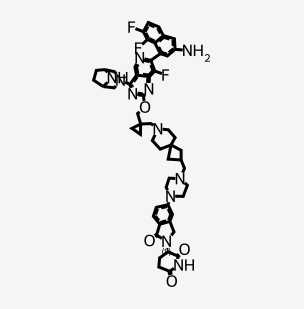 Nc1cc(-c2ncc3c(N4CC5CCC(C4)N5)nc(OCC4(CN5CCC6(CC5)CC(CN5CCN(c7ccc8c(c7)CN([C@H]7CCC(=O)NC7=O)C8=O)CC5)C6)CC4)nc3c2F)c2c(F)c(F)ccc2c1